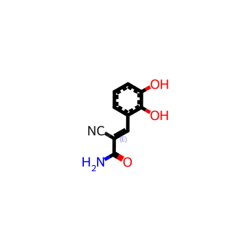 N#C/C(=C\c1cccc(O)c1O)C(N)=O